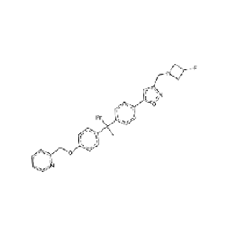 CC(C)C(C)(c1ccc(OCc2ccccn2)cc1)c1ccc(-c2cc(CN3CC(F)C3)no2)cc1